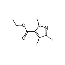 CCOC(=O)c1c(I)c(I)nn1C